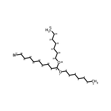 CCCCCCCOC(CCCCCCCCBr)OCCCCCCC